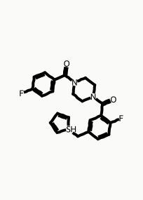 O=C(c1ccc(F)cc1)N1CCN(C(=O)c2cc(C[SH]3C=CC=C3)ccc2F)CC1